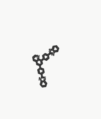 c1cnc2c(-c3ccc(-c4nc5ccccc5s4)cc3)cc(-c3ccc(-c4nc5ccccc5s4)cc3)cc2c1